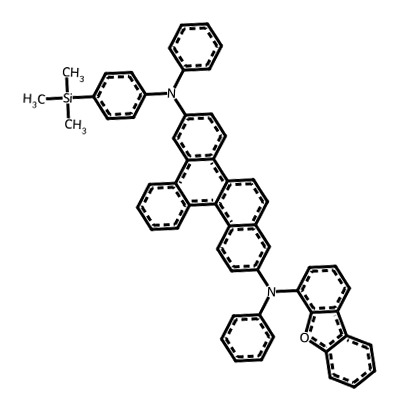 C[Si](C)(C)c1ccc(N(c2ccccc2)c2ccc3c(c2)c2ccccc2c2c4ccc(N(c5ccccc5)c5cccc6c5oc5ccccc56)cc4ccc32)cc1